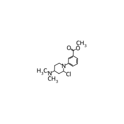 COC(=O)c1cccc(N2CCC(N(C)C)CC2Cl)c1